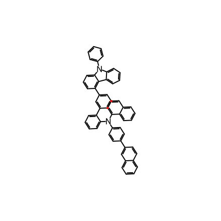 c1ccc(-n2c3ccccc3c3c(-c4cccc(-c5ccccc5N(c5ccc(-c6ccc7ccccc7c6)cc5)c5cccc6ccccc56)c4)cccc32)cc1